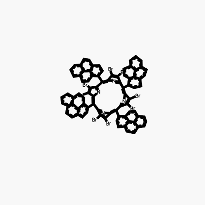 BrC1=C(Br)C2=C(c3ccc4ccc5cccc6ccc3c4c56)C3=NC(=C(c4ccc5ccc6cccc7ccc4c5c67)C4=NC(=C(c5ccc6ccc7cccc8ccc5c6c78)C5=NC(=C(c6ccc7ccc8cccc9ccc6c7c89)C1=N2)C(Br)=C5Br)C(Br)=C4Br)C(Br)=C3Br